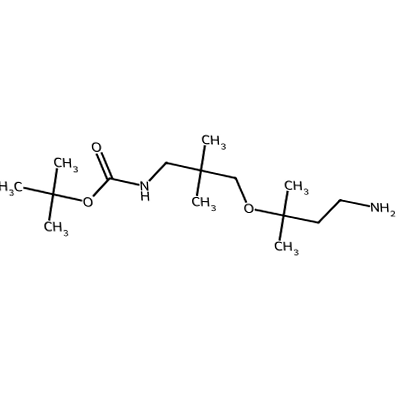 CC(C)(CNC(=O)OC(C)(C)C)COC(C)(C)CCN